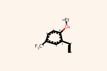 C=Cc1cc(C(F)(F)F)ccc1OCC